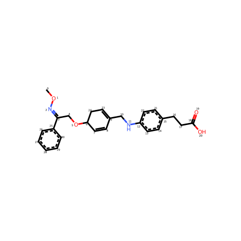 CO/N=C(\COC1C=CC(CNc2ccc(CCC(=O)O)cc2)=CC1)c1ccccc1